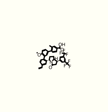 C=Cc1ccc(-c2cc(-c3ccc(C(=O)O)cc3C)ccc2OC)c([C@@H]2CC[C@H]3[C@@H](c4cc(C(F)(F)F)cc(C(F)(F)F)c4)CC(=O)N23)c1